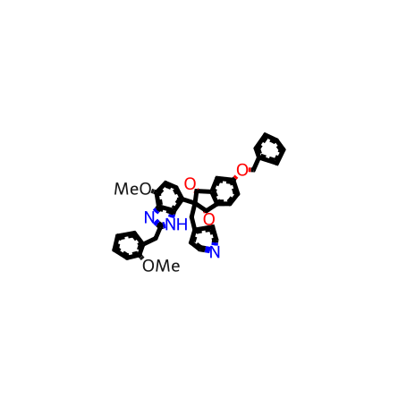 COc1ccccc1Cc1nc2c(OC)ccc(C3(Cc4ccncc4)C(=O)c4ccc(OCc5ccccc5)cc4C3=O)c2[nH]1